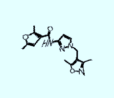 Cc1cc(C(=O)Nc2ccn(Cc3c(C)noc3C)n2)c(C)o1